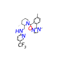 Cc1ccc(-c2nccn2C)c(C(=O)N2CCC[C@@H](C)C2CNc2ccc(C(F)(F)F)cn2)c1